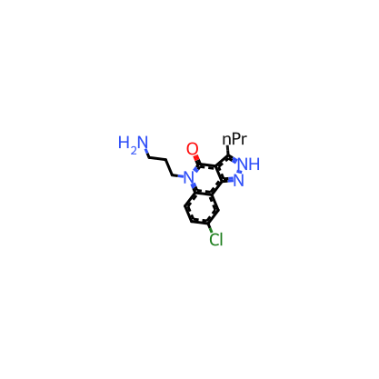 CCCc1[nH]nc2c1c(=O)n(CCCN)c1ccc(Cl)cc21